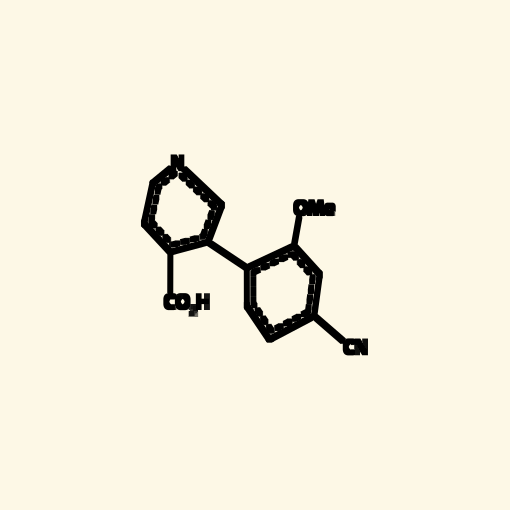 COc1cc(C#N)ccc1-c1cnccc1C(=O)O